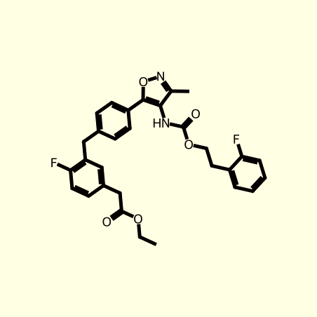 CCOC(=O)Cc1ccc(F)c(Cc2ccc(-c3onc(C)c3NC(=O)OCCc3ccccc3F)cc2)c1